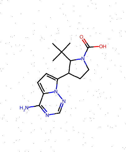 CC(C)(C)C1C(c2ccc3c(N)ncnn23)CCN1C(=O)O